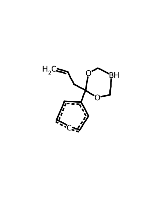 C=CCC1(c2ccccc2)OCBCO1